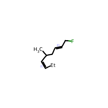 CC/C=C\C(C)C/C=C/CF